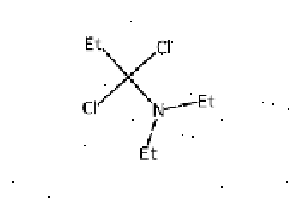 CCN(CC)C(Cl)(Cl)CC